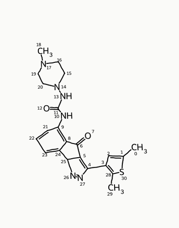 Cc1cc(C2=C3C(=O)c4c(NC(=O)NN5CCN(C)CC5)cccc4C3N=N2)c(C)s1